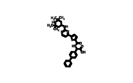 CC1(C)CC(Nc2nccc(-c3ccc(C(=O)NC(C(=O)O)c4ccc(-c5ccccc5)cc4)s3)n2)CC(C)(C)N1